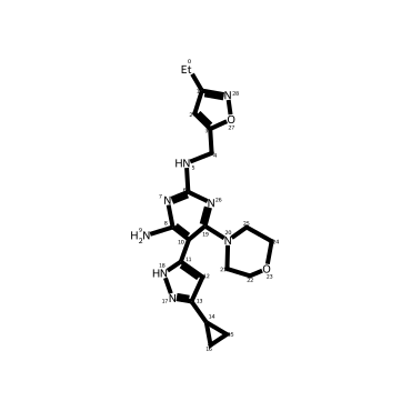 CCc1cc(CNc2nc(N)c(-c3cc(C4CC4)n[nH]3)c(N3CCOCC3)n2)on1